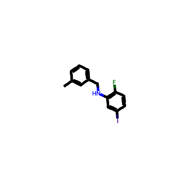 Cc1cccc(CNc2cc(I)ccc2F)c1